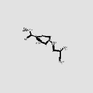 COC(=O)c1ccc(OCC(N)C#N)cc1